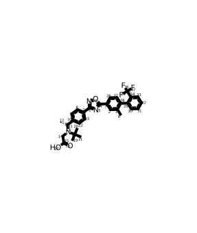 Cc1cc(-c2nc(-c3ccc([C@@H](C)N(CC(=O)O)C(C)(C)C)cc3)no2)ccc1-c1ccccc1C(F)(F)F